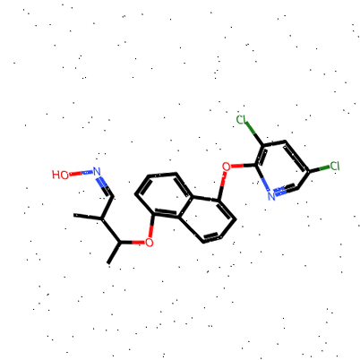 CC(/C=N\O)C(C)Oc1cccc2c(Oc3ncc(Cl)cc3Cl)cccc12